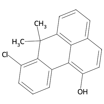 CC1(C)c2c(Cl)cccc2-c2c(O)ccc3cccc1c23